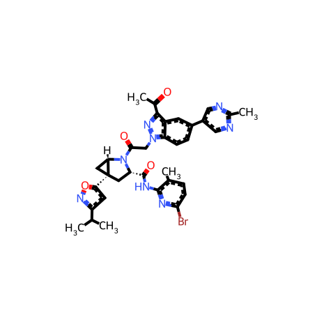 CC(=O)c1nn(CC(=O)N2[C@H](C(=O)Nc3nc(Br)ccc3C)C[C@@]3(c4cc(C(C)C)no4)C[C@@H]23)c2ccc(-c3cnc(C)nc3)cc12